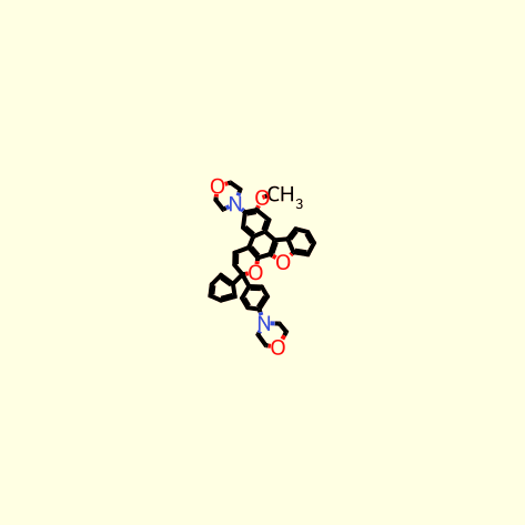 COc1cc2c(cc1N1CCOCC1)c1c(c3oc4ccccc4c32)OC(c2ccccc2)(c2ccc(N3CCOCC3)cc2)C=C1